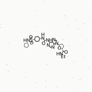 CCNC(=O)[C@@H]1CC[C@H](n2cnc3c(NC(=O)Nc4ccc(S(=O)(=O)NC5CCCC5)cc4)ncnc32)O1